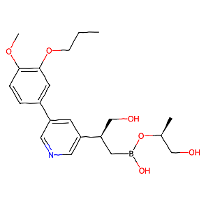 CCCOc1cc(-c2cncc([C@@H](CO)CB(O)O[C@@H](C)CO)c2)ccc1OC